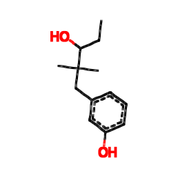 CCC(O)C(C)(C)Cc1cccc(O)c1